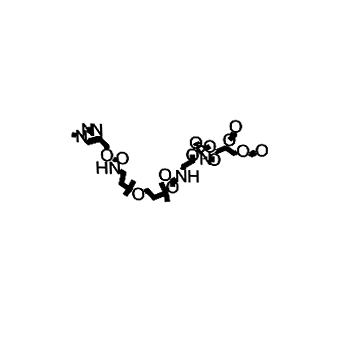 Cn1cc(COC(=O)NCCC(C)(C)OCCC(C)(C)OC(=O)NCCOP(=O)(N=O)OCC(COC=O)OC=O)nn1